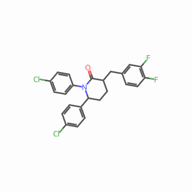 O=C1C(Cc2ccc(F)c(F)c2)CCC(c2ccc(Cl)cc2)N1c1ccc(Cl)cc1